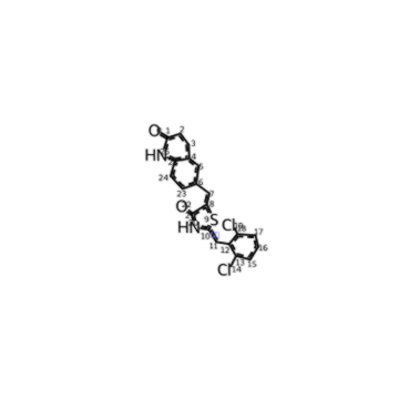 O=c1ccc2cc(C=c3s/c(=C\c4c(Cl)cccc4Cl)[nH]c3=O)ccc2[nH]1